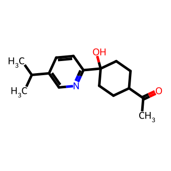 CC(=O)C1CCC(O)(c2ccc(C(C)C)cn2)CC1